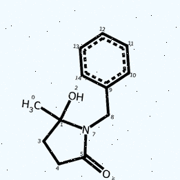 CC1(O)CCC(=O)N1Cc1ccccc1